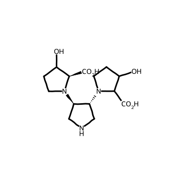 O=C(O)C1C(O)CCN1[C@@H]1CNC[C@H]1N1CCC(O)[C@H]1C(=O)O